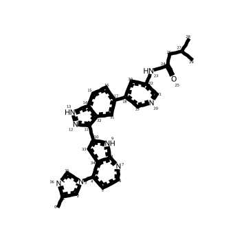 Cc1cn(-c2ccnc3[nH]c(-c4n[nH]c5ccc(-c6cncc(NC(=O)CC(C)C)c6)cc45)cc23)cn1